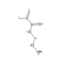 C=C(C)C(=O)O[CH]OCCC